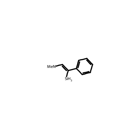 CNC=C([SiH3])c1ccccc1